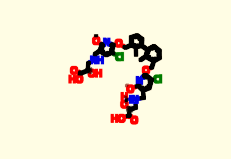 COc1nc(OCc2cccc(-c3cccc(COc4nc(OC)c(CNC[C@@H](O)C(=O)O)cc4Cl)c3C)c2C)c(Cl)cc1CNC[C@@H](O)C(=O)O